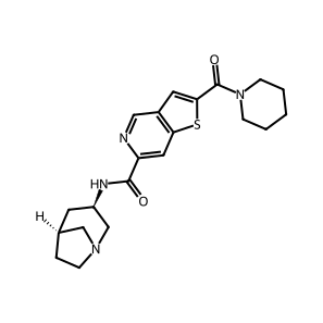 O=C(N[C@@H]1C[C@@H]2CCN(C2)C1)c1cc2sc(C(=O)N3CCCCC3)cc2cn1